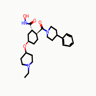 CCN1CCC(O[C@@H]2CC[C@H](C(=O)N3CCC(c4ccccc4)CC3)[C@@H](C(=O)NO)C2)CC1